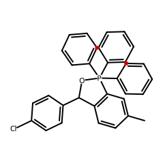 Cc1ccc2c(c1)P(c1ccccc1)(c1ccccc1)(c1ccccc1)OC2c1ccc(Cl)cc1